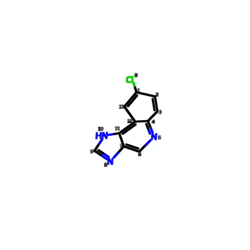 Clc1ccc2ncc3nc[nH]c3c2c1